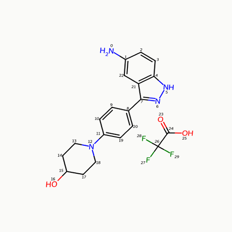 Nc1ccc2[nH]nc(-c3ccc(N4CCC(O)CC4)cc3)c2c1.O=C(O)C(F)(F)F